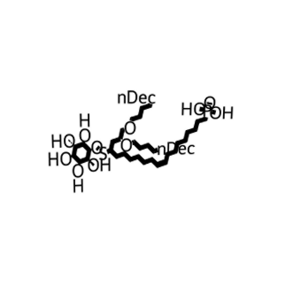 CCCCCCCCCCCCCCOCC(CC(CCCCCC/C=C\CCCCCCCCP(=O)(O)O)SO[C@@H]1[C@@H](O)[C@H](O)[C@@H](O)[C@H](O)[C@@H]1O)OCCCCCCCCCCCCCC